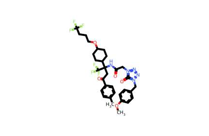 COc1ccc(Cn2nnn(CC(=O)NC(CC(=O)c3ccc(C)cc3)(C3CCC(OCCCC(F)(F)F)CC3)C(F)(F)F)c2=O)cc1